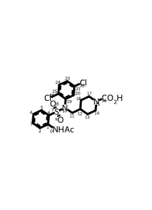 CC(=O)Nc1ccccc1S(=O)(=O)N(CC1CCN(C(=O)O)CC1)c1cc(Cl)ccc1Cl